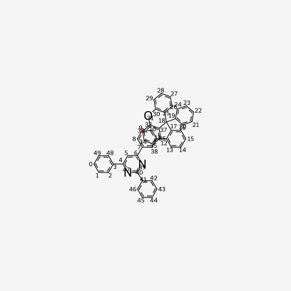 c1ccc(-c2cc(-c3cccc(-c4ccccc4C4(c5ccccc5)c5ccccc5Oc5ccccc54)c3)nc(-c3ccccc3)n2)cc1